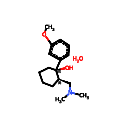 COc1cccc([C@@]2(O)CCCC[C@@H]2CN(C)C)c1.O